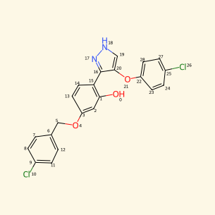 Oc1cc(OCc2ccc(Cl)cc2)ccc1-c1n[nH]cc1Oc1ccc(Cl)cc1